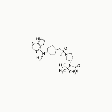 CN(c1ncnc2[nH]ccc12)[C@H]1CC[C@H](CS(=O)(=O)N2CC[C@H](N(C(=O)O)C(C)(C)C)C2)CC1